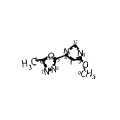 COc1cc(-c2nnc(C)o2)ncn1